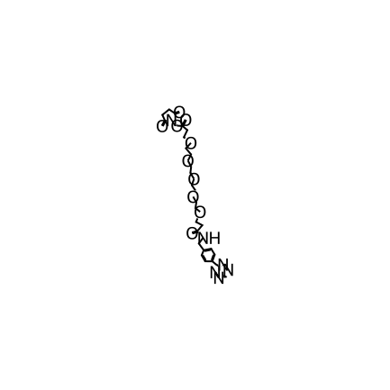 O=C(CCOCCOCCOCCOCCOCCC(=O)ON1C(=O)CCC1=O)NCc1ccc(-c2nncnn2)cc1